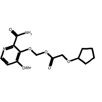 COc1ccnc(C(N)=O)c1OCOC(=O)COC1CCCC1